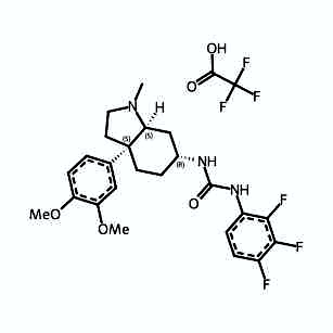 COc1ccc([C@@]23CC[C@@H](NC(=O)Nc4ccc(F)c(F)c4F)C[C@@H]2N(C)CC3)cc1OC.O=C(O)C(F)(F)F